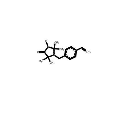 C=Cc1ccc(CN2C(C)(C)C(=O)N(Cl)C2(C)C)cc1